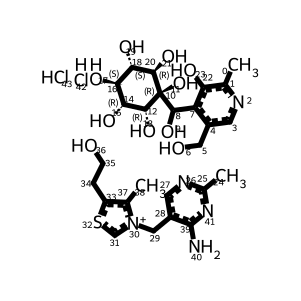 Cc1ncc(CO)c(C(O)[C@]2(O)[C@H](O)[C@H](O)[C@@H](O)[C@H](O)[C@H]2O)c1O.Cc1ncc(C[n+]2csc(CCO)c2C)c(N)n1.Cl.Cl